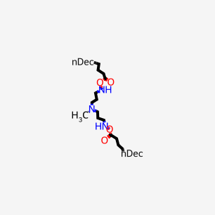 CCCCCCCCCCCCCC(=O)ONCCCN(C)CCCNOC(=O)CCCCCCCCCCCCC